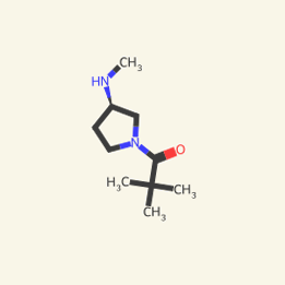 CN[C@@H]1CCN(C(=O)C(C)(C)C)C1